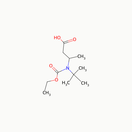 CCOC(=O)N(C(C)CC(=O)O)C(C)(C)C